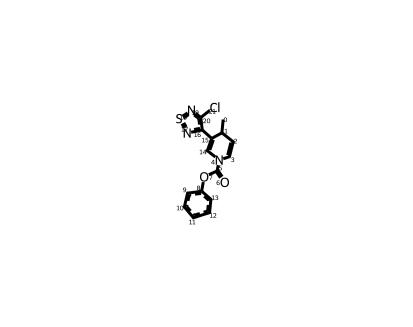 CC1C=CN(C(=O)Oc2ccccc2)C=C1c1nsnc1Cl